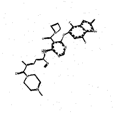 C=N/C(=C\C=C(/C)C(=O)N1CCN(C)CC1)Nc1ncnc(Oc2cc(F)c3[nH]c(C)cc3c2F)c1C(=O)N1CCC1